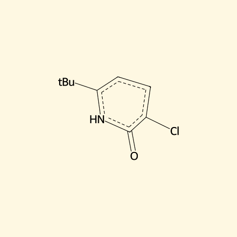 CC(C)(C)c1ccc(Cl)c(=O)[nH]1